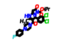 CC1=C(C(=O)N2CCN(c3ccc(F)cc3)CC2)C(c2ccc(Cl)c(Cl)c2)n2c(cc(=O)n2C(=O)OC(C)C)N1